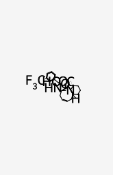 O=C(N[C@H]1CC=CC[C@H]2CCC[C@@H](C(=O)O)N2C1=O)c1cccc(C(F)(F)F)c1